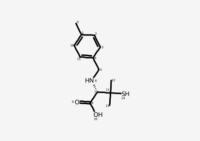 Cc1ccc(CN[C@@H](C(=O)O)C(C)(C)S)cc1